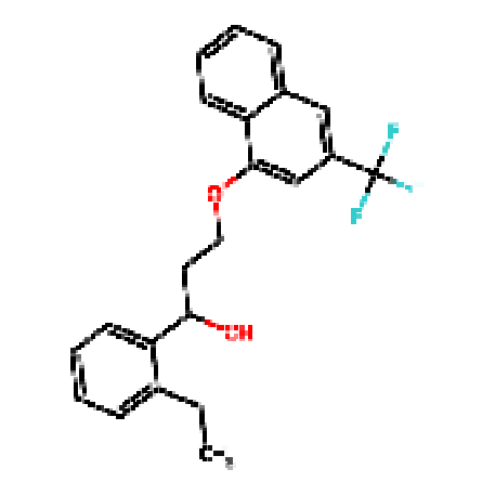 CCc1ccccc1C(O)CCOc1cc(C(F)(F)F)cc2ccccc12